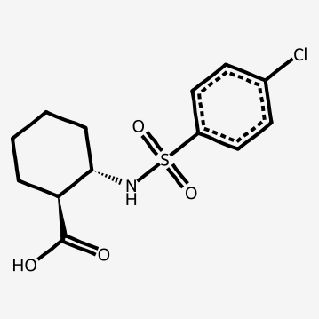 O=C(O)[C@H]1CCCC[C@@H]1NS(=O)(=O)c1ccc(Cl)cc1